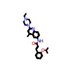 CCN1CCN(c2cc(C)c3cc(NC(=O)C=Cc4ccccc4OC(C)C)ccc3n2)CC1